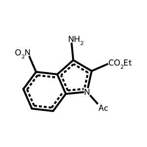 CCOC(=O)c1c(N)c2c([N+](=O)[O-])cccc2n1C(C)=O